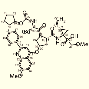 C=C[C@@H]1C[C@]1(NC(=O)[C@@H]1C[C@@H](Oc2cc(-c3ccccc3)nc3cc(OC)ccc23)CN1C(=O)[C@@H](NC(=O)OC1CCCC1)C(C)(C)C)P(=O)(O)COC